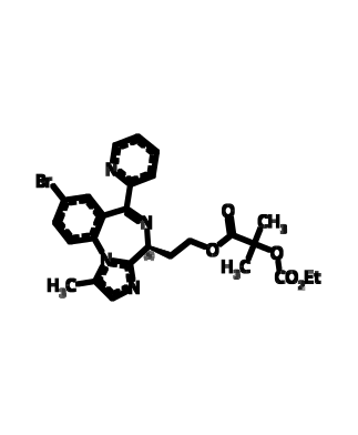 CCOC(=O)OC(C)(C)C(=O)OCC[C@@H]1N=C(c2ccccn2)c2cc(Br)ccc2-n2c(C)cnc21